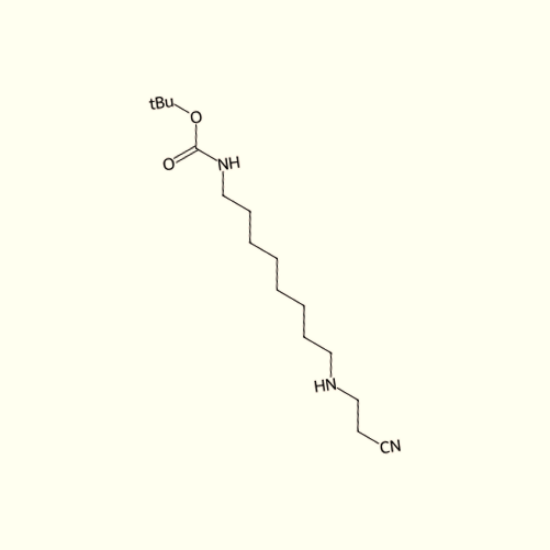 CC(C)(C)OC(=O)NCCCCCCCCNCCC#N